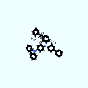 Cc1cc(-c2ccccc2)ccc1N(c1ccc(-n2c3ccccc3c3ccccc32)cc1)c1cccc(C(C)(C)c2ccccc2C)c1C